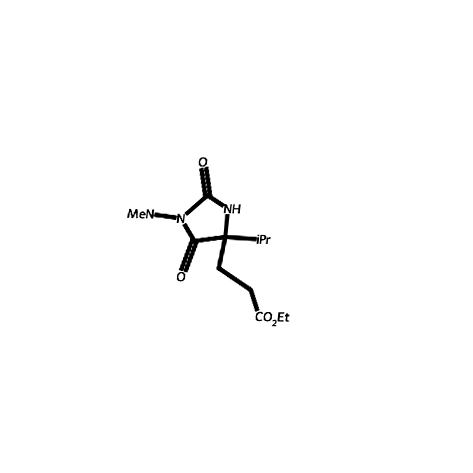 CCOC(=O)CCC1(C(C)C)NC(=O)N(NC)C1=O